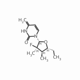 C=C1C=CN([C@@H]2O[C@H](CC)[C@@H](C)[C@@]2(C)F)C(=O)N1